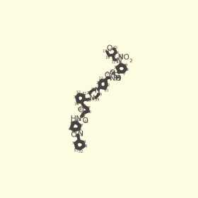 O=C(NS(=O)(=O)c1cccc(N(CC2CCOCC2)[N+](=O)[O-])c1)c1ccc(N2CCN(Cc3ccccc3-c3ccc(C(=O)Nc4ccc5oc(-c6ccccc6)nc5c4)o3)CC2)cc1